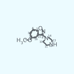 COc1ccc2onc(N3CCNCC3)c2c1